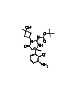 CC1(O)CC(N2C(=O)C[C@@](C)(c3cccc(N)c3Cl)NC2=NC(=O)OC(C)(C)C)C1